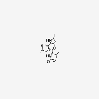 C#C[C@@H](C)CN(C(=O)[C@@H](NC(=O)OC)C(C)C)[C@@H](C)c1ncc(I)[nH]1